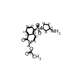 CC(=O)OCn1ccc2c(S(=O)(=O)N3CCC(N)C3)cccc2c1=O